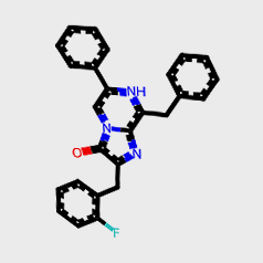 O=c1c(Cc2ccccc2F)nc2c(Cc3ccccc3)[nH]c(-c3ccccc3)cn1-2